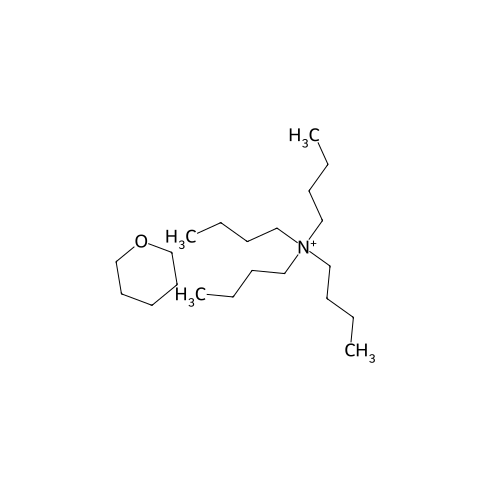 C1CCOCC1.CCCC[N+](CCCC)(CCCC)CCCC